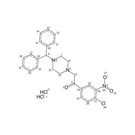 Cl.Cl.O=C(CN1CCN(C(c2ccccc2)c2ccccc2)CC1)c1ccc(Cl)c([N+](=O)[O-])c1